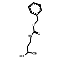 O=[C]C(O)CCNC(=O)OCc1ccccc1